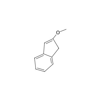 COC1=Cc2ccccc2C1